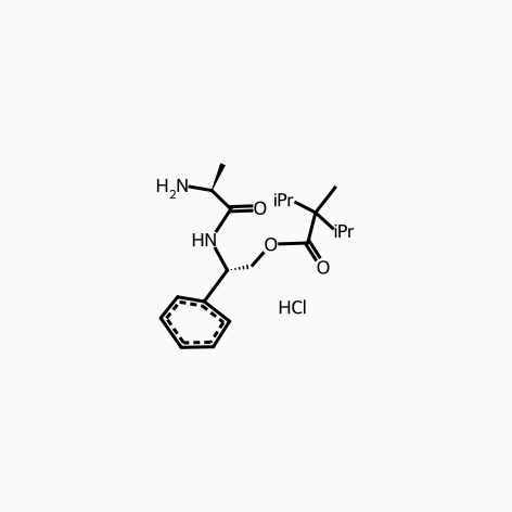 CC(C)C(C)(C(=O)OC[C@@H](NC(=O)[C@H](C)N)c1ccccc1)C(C)C.Cl